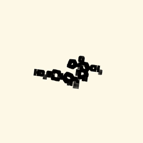 Cc1cc(=O)n(C2CCCC2)c2nc(Nc3ccc(N4CCN(C(=O)O)CC4)cn3)ncc12